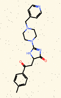 Cc1ccc(C(=O)CC2NC(N3CCN(Cc4ccncc4)CC3)=NC2=O)cc1